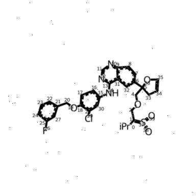 CC(C)C(COCC1(c2ccc3ncnc(Nc4ccc(OCc5cccc(F)c5)c(Cl)c4)c3c2)CC=CO1)=S(=O)=O